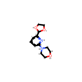 c1cc(C2OCCO2)nc(N2CCOCC2)c1